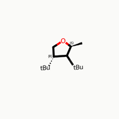 C[C@@H]1OC[C@@H](C(C)(C)C)C1C(C)(C)C